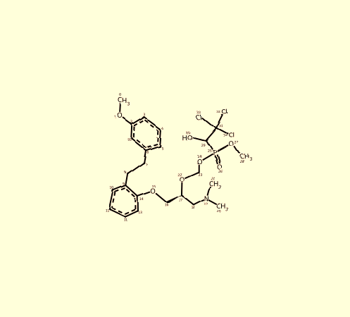 COc1cccc(CCc2ccccc2OC[C@H](CN(C)C)OCOP(=O)(OC)C(O)C(Cl)(Cl)Cl)c1